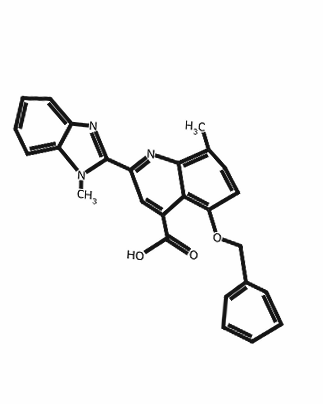 Cc1ccc(OCc2ccccc2)c2c(C(=O)O)cc(-c3nc4ccccc4n3C)nc12